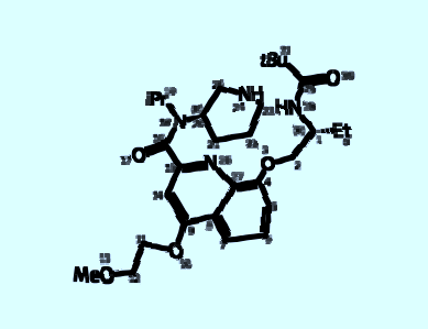 CC[C@H](COc1cccc2c(OCCOC)cc(C(=O)N(C(C)C)[C@@H]3CCCNC3)nc12)NC(=O)C(C)(C)C